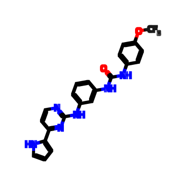 O=C(Nc1ccc(OC(F)(F)F)cc1)Nc1cccc(Nc2nccc(-c3ccc[nH]3)n2)c1